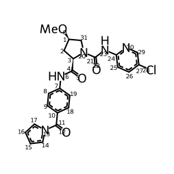 CO[C@@H]1C[C@H](C(=O)Nc2ccc(C(=O)n3cccc3)cc2)N(C(=O)Nc2ccc(Cl)cn2)C1